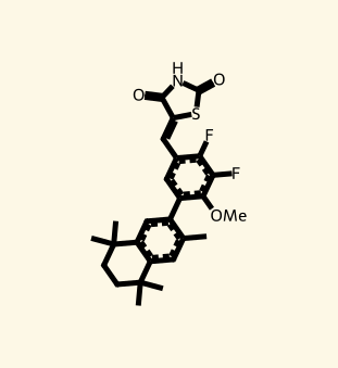 COc1c(-c2cc3c(cc2C)C(C)(C)CCC3(C)C)cc(/C=C2\SC(=O)NC2=O)c(F)c1F